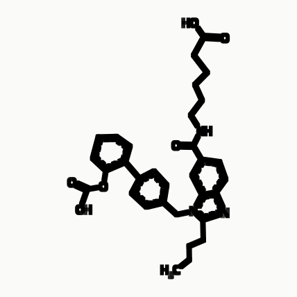 CCCCc1nc2ccc(C(=O)NCCCCCC(=O)O)cc2n1Cc1ccc(-c2ccccc2OC(=O)O)cc1